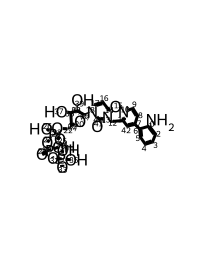 Nc1ccccc1-c1ccnc(Cn2c(=O)ccn([C@@H]3O[C@H](COP(=O)(O)OP(=O)(O)OP(=O)(O)O)C(O)[C@@H]3O)c2=O)c1